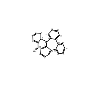 O=Cc1ccccc1C1c2ccccc2-c2ccccc2-c2ccccc21